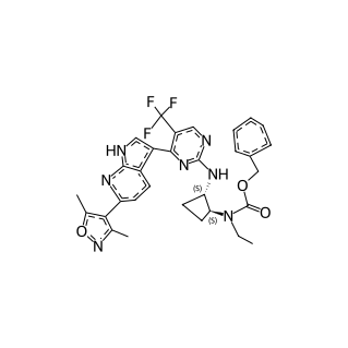 CCN(C(=O)OCc1ccccc1)[C@H]1CC[C@@H]1Nc1ncc(C(F)(F)F)c(-c2c[nH]c3nc(-c4c(C)noc4C)ccc23)n1